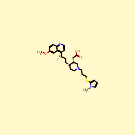 COc1ccc2nccc([C@@H](F)CC[C@@H]3CCN(CCCSc4cccn4C)C[C@@H]3CC(=O)O)c2c1